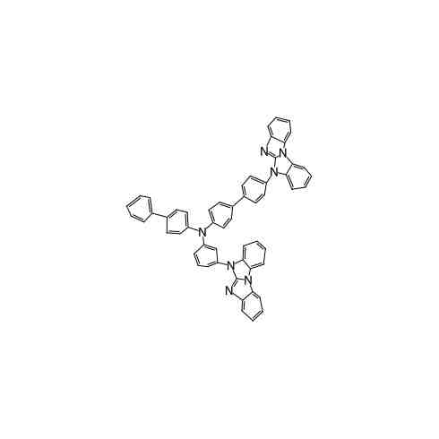 c1ccc(-c2ccc(N(c3ccc(-c4ccc(-n5c6ccccc6n6c7ccccc7nc56)cc4)cc3)c3cccc(-n4c5ccccc5n5c6ccccc6nc45)c3)cc2)cc1